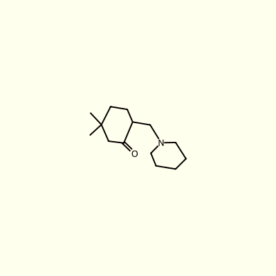 CC1(C)CCC(CN2CCCCC2)C(=O)C1